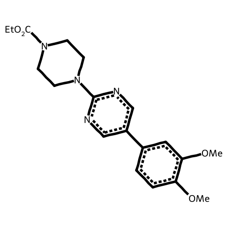 CCOC(=O)N1CCN(c2ncc(-c3ccc(OC)c(OC)c3)cn2)CC1